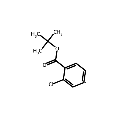 CC(C)(C)OC(=O)c1cc[c]cc1Cl